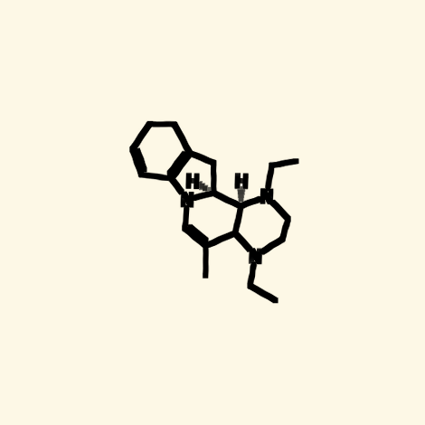 CCN1CCN(CC)[C@H]2C1C(C)=CN1C3=C(CCC=C3)C[C@@H]21